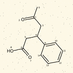 CC(=O)CC(CC(=O)O)c1ccccc1